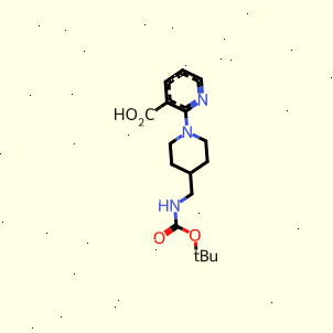 CC(C)(C)OC(=O)NCC1CCN(c2ncccc2C(=O)O)CC1